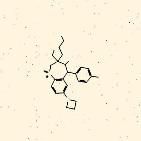 CCCCC1(CC)CS(=O)(=O)c2ccc(N3CCC3)cc2C(c2ccc(F)cc2)C1O